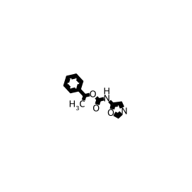 CC(OC(=O)Nc1cnco1)c1ccccc1